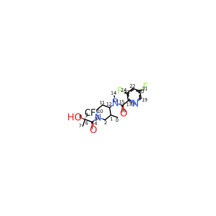 CC1CN(C(=O)[C@@](C)(O)C(F)(F)F)CCC1N(C)C(=O)c1ncc(F)cc1F